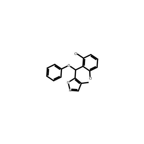 Cc1cnoc1C(Oc1c[c]ccc1)c1c(Cl)cccc1Cl